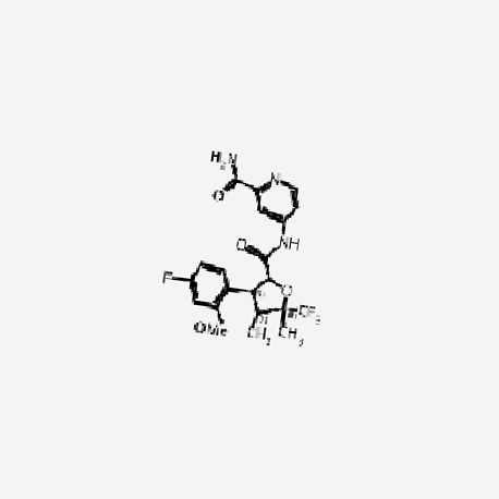 COc1cc(F)ccc1[C@H]1C(C(=O)Nc2ccnc(C(N)=O)c2)O[C@@](C)(C(F)(F)F)[C@H]1C